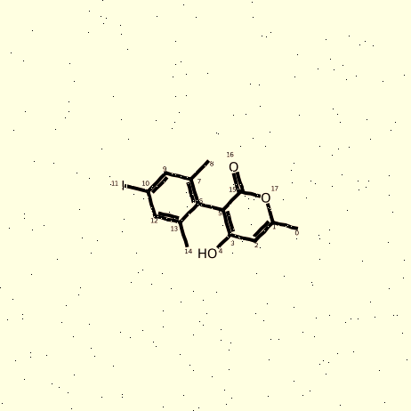 Cc1cc(O)c(-c2c(C)cc(I)cc2C)c(=O)o1